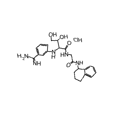 Cl.N=C(N)c1cccc(NC(C(=O)NCC(=O)NC2CCCc3ccccc32)C(O)CO)c1